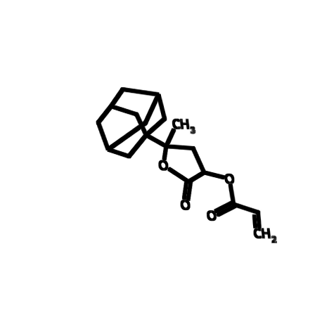 C=CC(=O)OC1CC(C)(C23CC4CC(CC(C4)C2)C3)OC1=O